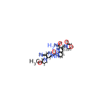 CO[C@@H]1CCN(c2cc(NC(=O)N3CCCc4cc(CN5CCOCC5=O)c(C(N)=O)nc43)ncc2C#N)C1